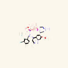 COc1cc2nc(C)cc(NC(C)c3cccc(C(F)F)c3F)c2cc1[C@@H]1CNCCN1O.O=CO.O=CO